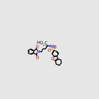 O=C(O)[C@H](CCCN1C(=O)c2ccccc2C1=O)NS(=O)(=O)c1ccc2c3c(oc2c1)CCCC3